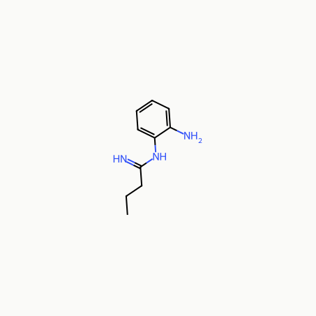 CCCC(=N)Nc1ccccc1N